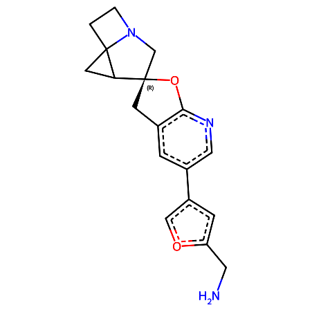 NCc1cc(-c2cnc3c(c2)C[C@@]2(CN4CCC45CC52)O3)co1